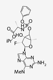 CNc1nc(N)nc2c1ncn2[C@@H]1O[C@]2(C)C(OP(=O)(N[C@@H](C)C(=O)OC(C)C)Oc3ccccc3)[C@]2(O)[C@H]1F